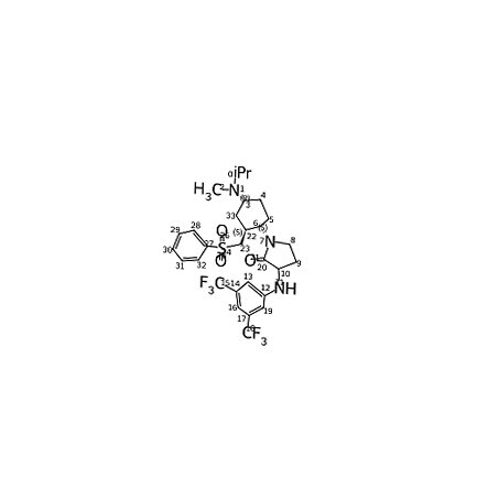 CC(C)N(C)[C@@H]1CC[C@H](N2CCC(Nc3cc(C(F)(F)F)cc(C(F)(F)F)c3)C2=O)[C@@H](CS(=O)(=O)c2ccccc2)C1